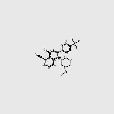 CO[C@H]1CC[C@H](c2cc(C(C)(C)C)ncc2-c2cc(=O)c3c(C#N)nccc3[nH]2)CC1